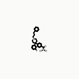 CCN(CC)C(=O)c1ccc(C2(c3cccc(F)c3)CCN(CCCc3ccccc3)CC2)cc1